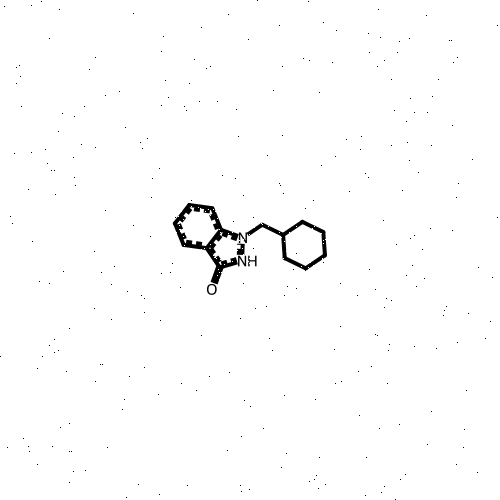 O=c1[nH]n(CC2CCCCC2)c2ccccc12